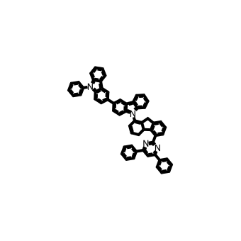 C1=CC(n2c3ccccc3c3cc(-c4ccc5c(c4)c4ccccc4n5-c4ccccc4)ccc32)=C2Cc3cccc(-c4nc(-c5ccccc5)cc(-c5ccccc5)n4)c3C2C1